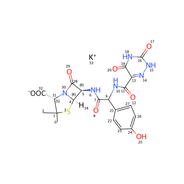 CC1(C)S[C@@H]2[C@H](NC(=O)C(NC(=O)c3n[nH]c(=O)[nH]c3=O)c3ccc(O)cc3)C(=O)N2[C@H]1C(=O)[O-].[K+]